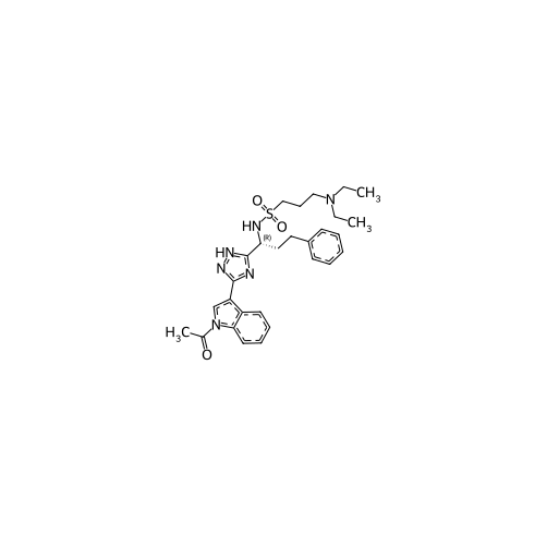 CCN(CC)CCCS(=O)(=O)N[C@H](CCc1ccccc1)c1nc(-c2cn(C(C)=O)c3ccccc23)n[nH]1